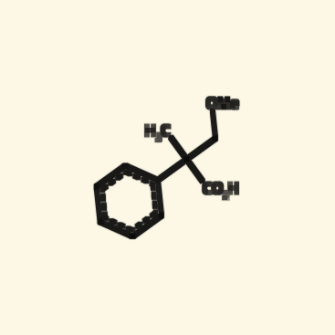 COCC(C)(C(=O)O)c1ccccc1